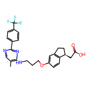 Cc1cnc(-c2ccc(C(F)(F)F)cc2)nc1NCCCOc1ccc2c(c1)CC[C@H]2CC(=O)O